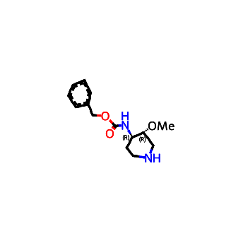 CO[C@@H]1CNCC[C@H]1NC(=O)OCc1ccccc1